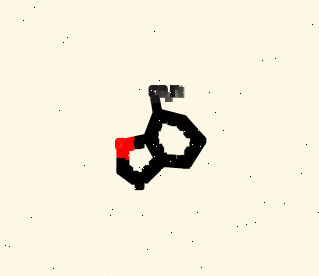 CCOC(=O)c1cccc2bcoc12